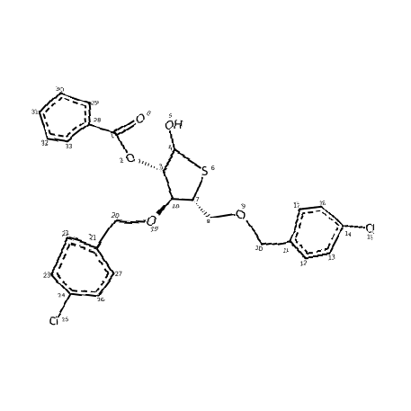 O=C(O[C@@H]1C(O)S[C@H](COCc2ccc(Cl)cc2)[C@H]1OCc1ccc(Cl)cc1)c1ccccc1